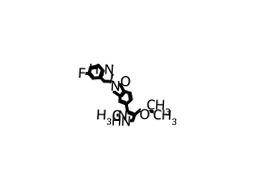 CC(C)OCC1=C(c2ccc3c(c2)CN([C@H](CN)Cc2cccc(F)c2)C3=O)N(C)NC1